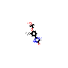 CC(C)(O)COc1ccc(C2=NNC(=O)CN2)cc1C(F)(F)F